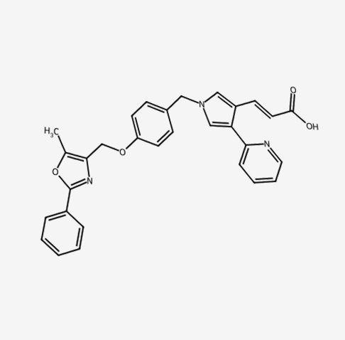 Cc1oc(-c2ccccc2)nc1COc1ccc(Cn2cc(/C=C/C(=O)O)c(-c3ccccn3)c2)cc1